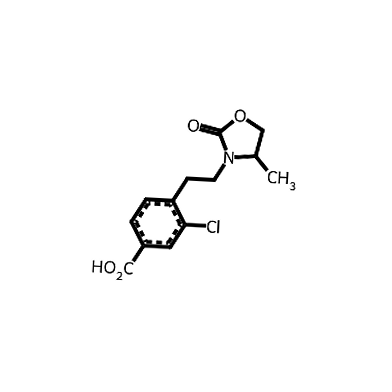 CC1COC(=O)N1CCc1ccc(C(=O)O)cc1Cl